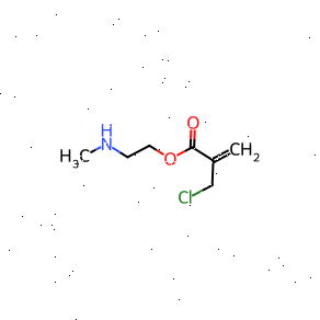 C=C(CCl)C(=O)OCCNC